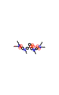 CCCCCN(CCCCC)S(=O)(=O)c1ccc(N(CCCC)c2ccc(C(c3ccc(N(CCCC)c4ccc(S(=O)(=O)N(CCCCC)CCCCC)cc4)cc3)c3ccccc3S(=O)(=O)O)cc2)cc1